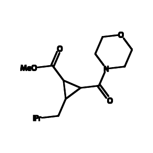 COC(=O)C1C(CC(C)C)C1C(=O)N1CCOCC1